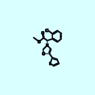 COC(=O)C(c1ccccc1Cl)N1C=C(c2cccs2)OC1